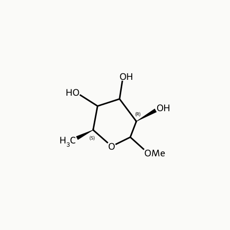 COC1O[C@@H](C)C(O)C(O)[C@H]1O